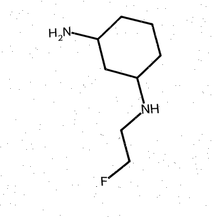 NC1CCCC(NCCF)C1